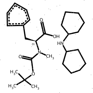 C1CCC(NC2CCCCC2)CC1.CN(C(=O)OC(C)(C)C)[C@@H](Cc1ccccc1)C(=O)O